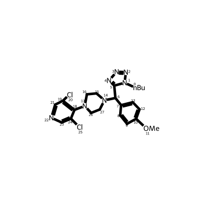 CCCCn1nnnc1C(c1ccc(OC)cc1)N1CCN(c2c(Cl)cncc2Cl)CC1